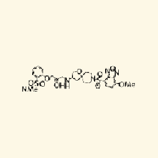 CNS(=O)(=O)c1ccccc1OC[C@@H](O)CNC1COC2(CCN(S(=O)(=O)c3ccc(OC)c4nonc34)CC2)C1